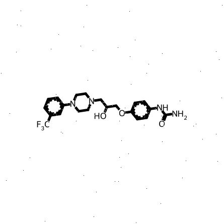 NC(=O)Nc1ccc(OCC(O)CN2CCN(c3cccc(C(F)(F)F)c3)CC2)cc1